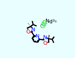 CC(C)[C@]1(C)COC(c2cccc(C3=N[C@](C)(C(C)C)CO3)n2)=N1.[Cl-].[Cl-].[Cl-].[Nd+3]